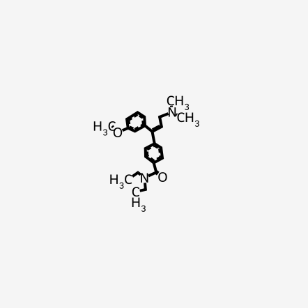 CCN(CC)C(=O)c1ccc(C(=CCN(C)C)c2cccc(OC)c2)cc1